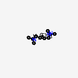 CC1(C)c2cc(-c3cccc(-c4cc(-c5ccccc5)cc(-c5ccccc5)n4)c3)ccc2-c2ccc(-c3cccc(-c4cc(-c5ccccc5)nc(-c5ccccc5)n4)c3)cc21